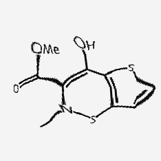 COC(=O)C1=C(O)c2sccc2SN1C